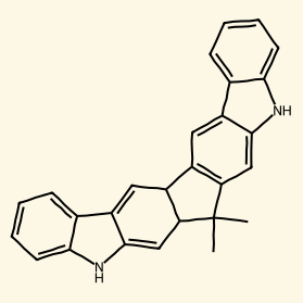 CC1(C)c2cc3[nH]c4ccccc4c3cc2C2C=c3c([nH]c4ccccc34)=CC21